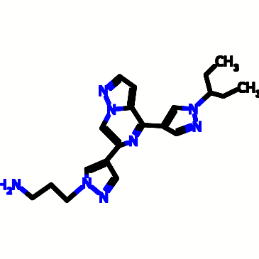 CCC(CC)n1cc(-c2nc(-c3cnn(CCCN)c3)cn3nccc23)cn1